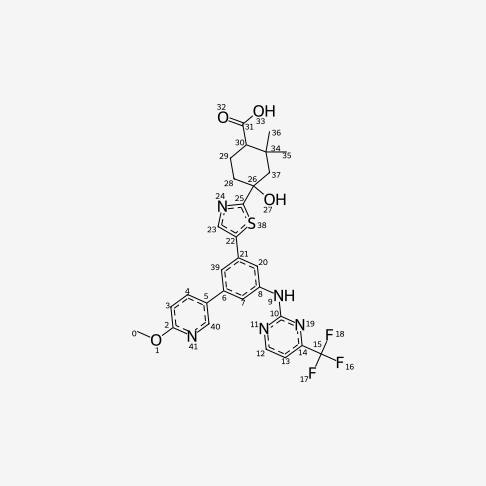 COc1ccc(-c2cc(Nc3nccc(C(F)(F)F)n3)cc(-c3cnc(C4(O)CCC(C(=O)O)C(C)(C)C4)s3)c2)cn1